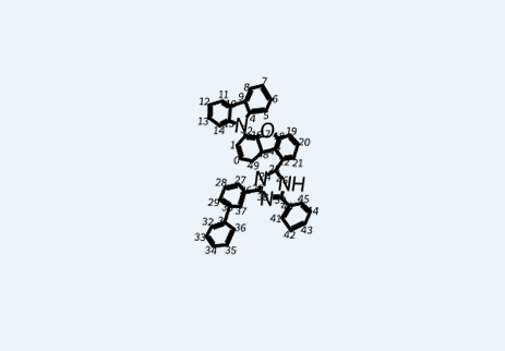 C1=CC(n2c3ccccc3c3ccccc32)=C2Oc3cccc(C4N=C(c5cccc(-c6ccccc6)c5)N=C(c5ccccc5)N4)c3C2C1